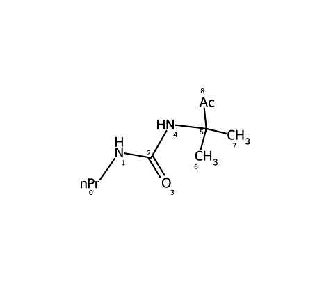 CCCNC(=O)NC(C)(C)C(C)=O